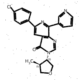 C[C@@H]1COC[C@H]1n1cnc2c(-c3cccnc3)nc(-c3ccc(Cl)cc3)cc2c1=O